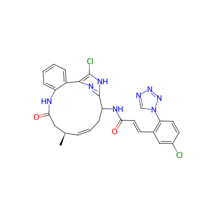 C[C@@H]1C=CCC(NC(=O)C=Cc2cc(Cl)ccc2-n2cnnn2)c2nc(c(Cl)[nH]2)-c2ccccc2NC(=O)C1